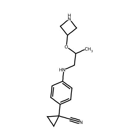 CC(CNc1ccc(C2(C#N)CC2)cc1)OC1CNC1